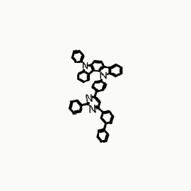 c1ccc(-c2cccc(-c3cc(-c4ccc(-n5c6ccccc6c6ccc7c(c8ccccc8n7-c7ccccc7)c65)cc4)nc(-c4ccccc4)n3)c2)cc1